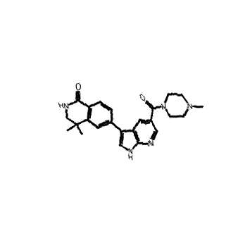 CN1CCN(C(=O)c2cnc3[nH]cc(-c4ccc5c(c4)C(C)(C)CNC5=O)c3c2)CC1